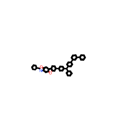 c1ccc(-c2cccc(-c3ccc(C(c4ccccc4)c4ccc(-c5ccc6c(c5)oc5cc7nc(-c8ccccc8)oc7cc56)cc4)cc3)c2)cc1